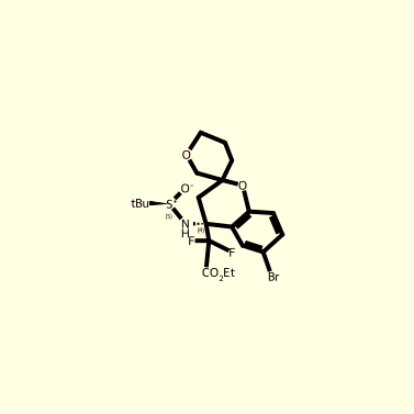 CCOC(=O)C(F)(F)[C@@]1(N[S@+]([O-])C(C)(C)C)CC2(CCCOC2)Oc2ccc(Br)cc21